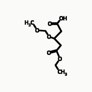 CCOC(=O)CC(CC(=O)O)OCOC